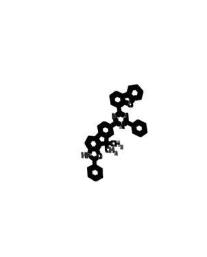 CC1(C)c2cc(-c3nc(-c4ccccc4)nc(-c4cccc5c4oc4ccccc45)n3)ccc2-c2ccc3c(c21)OC(c1ccccc1)N3